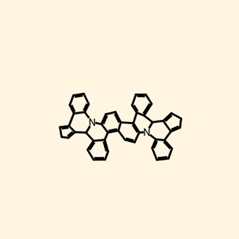 C1=C2C(=CC1)C1c3ccccc3-c3c(ccc4c5c(ccc34)N3c4ccccc4C4=CCC=C4C3c3ccccc3-5)N1c1ccccc12